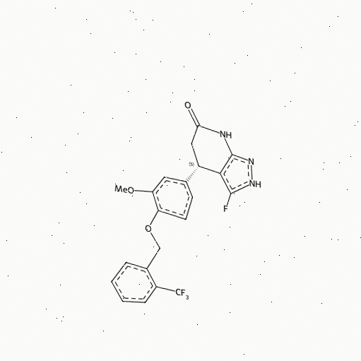 COc1cc([C@@H]2CC(=O)Nc3n[nH]c(F)c32)ccc1OCc1ccccc1C(F)(F)F